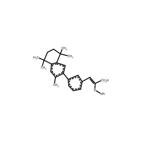 CCCOC(=Cc1cccc(-c2cc3c(cc2C)C(C)(C)CCC3(C)C)c1)C(=O)O